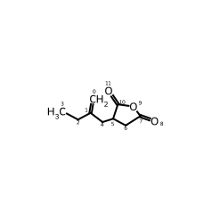 C=C(CC)CC1CC(=O)OC1=O